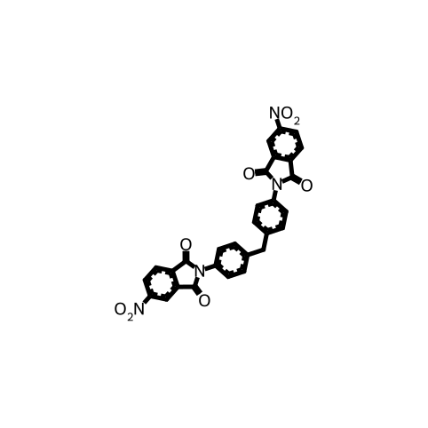 O=C1c2ccc([N+](=O)[O-])cc2C(=O)N1c1ccc(Cc2ccc(N3C(=O)c4ccc([N+](=O)[O-])cc4C3=O)cc2)cc1